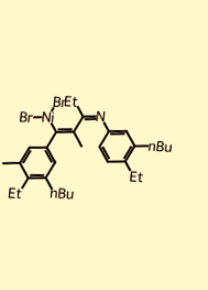 CCCCc1cc(N=C(CC)C(C)=[C](c2cc(C)c(CC)c(CCCC)c2)[Ni]([Br])[Br])ccc1CC